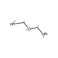 CCC[CH]OCCCC